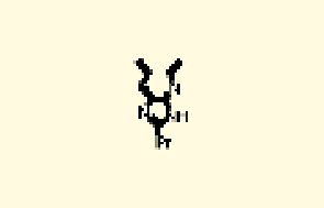 C=C/C=C1/N=C(C(C)C)N/C1=N/C=C